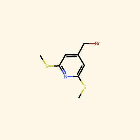 CSc1cc(CBr)cc(SC)n1